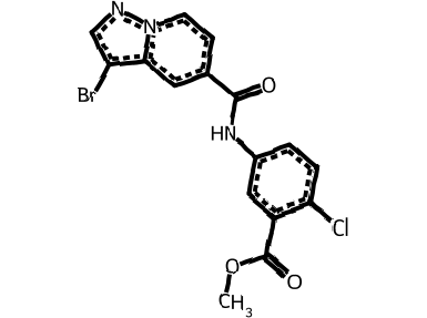 COC(=O)c1cc(NC(=O)c2ccn3ncc(Br)c3c2)ccc1Cl